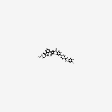 CC(=O)N1CCCN(c2cc(-n3nc(Nc4ccc(N5CCN(C(=O)Oc6ccc(C)cc6)CC5)cc4)nc3N)ncn2)CC1